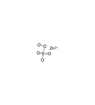 O=S(=O)([O-])O[O-].[Zn+2]